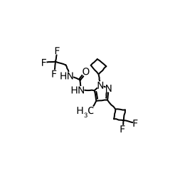 Cc1c(C2CC(F)(F)C2)nn(C2CCC2)c1NC(=O)NCC(F)(F)F